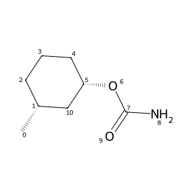 C[C@@H]1CCC[C@H](OC(N)=O)C1